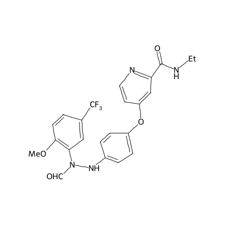 CCNC(=O)c1cc(Oc2ccc(NN(C=O)c3cc(C(F)(F)F)ccc3OC)cc2)ccn1